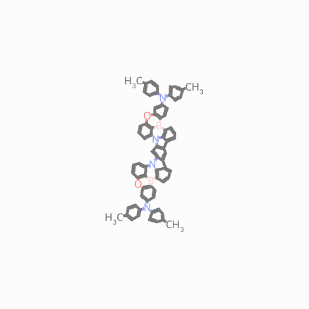 Cc1ccc(N(c2ccc(C)cc2)c2ccc3c(c2)Oc2cccc4c2B3c2cccc3c5cc6c7cccc8c7n(c6cc5n-4c23)-c2cccc3c2B8c2ccc(N(c4ccc(C)cc4)c4ccc(C)cc4)cc2O3)cc1